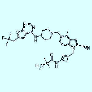 Cc1c(CN2CCC(Nc3ncnc4sc(CC(F)(F)F)cc34)CC2)ccc2c1cc(C#N)n2CC12CC(NC(=O)C(C)(C)N)(C1)C2